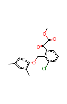 COC(=O)C(=O)c1cccc(Cl)c1COc1ccc(C)cc1C